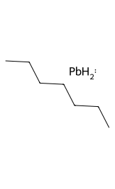 CCCCCCC.[PbH2]